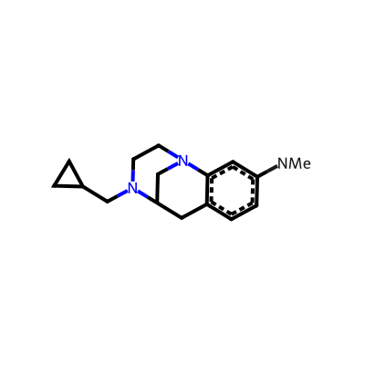 CNc1ccc2c(c1)N1CCN(CC3CC3)C(C2)C1